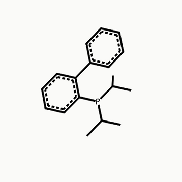 CC(C)P(c1ccccc1-c1ccccc1)C(C)C